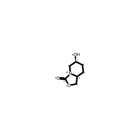 O=C1OCC2CC[C@H](O)CN12